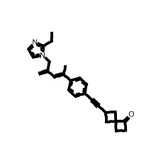 C=C(/C=C(\C)c1ccc(C#CC2CC3(CCC3=O)C2)cc1)Cn1ccnc1CC